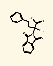 CC(CCc1ccccc1)(C(=O)O)N1C(=O)c2ccccc2C1=O